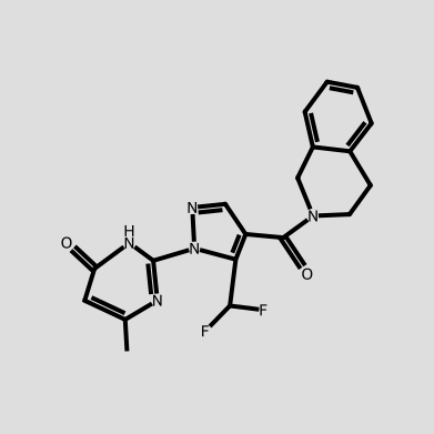 Cc1cc(=O)[nH]c(-n2ncc(C(=O)N3CCc4ccccc4C3)c2C(F)F)n1